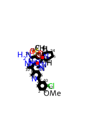 COc1ccc(-c2ccc(-c3cnn4c(N)c(S(C)(=O)=O)c([C@@H]5C[C@H]6CC[C@@H](C5)N6C(=O)c5nnc[nH]5)nc34)cn2)cc1Cl